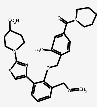 C=NCc1cccc(-c2csc(N3CCC(C(=O)O)CC3)n2)c1OCc1ccc(C(=O)N2CCCCC2)cc1C